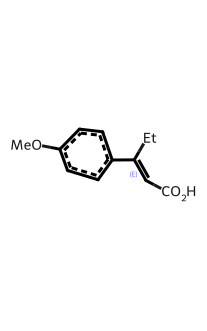 CC/C(=C\C(=O)O)c1ccc(OC)cc1